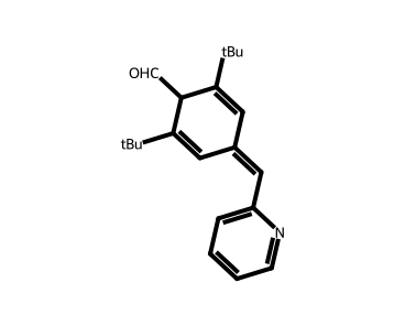 CC(C)(C)C1=CC(=Cc2ccccn2)C=C(C(C)(C)C)C1C=O